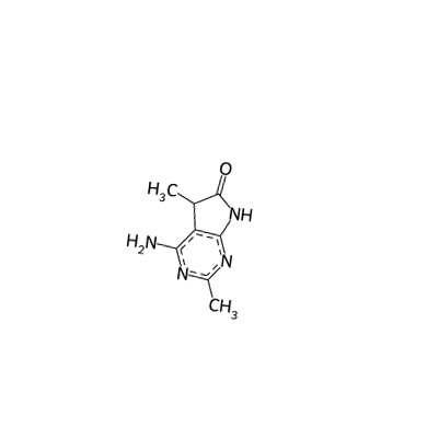 Cc1nc(N)c2c(n1)NC(=O)C2C